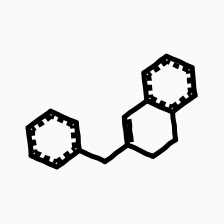 C1=C(Cc2ccccc2)CCc2ccccc21